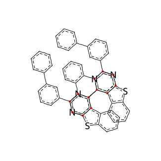 c1ccc(-c2cccc(-c3nc(-c4ccccc4-c4ccccc4-c4ccccc4-c4nc(-c5cccc(-c6ccccc6)c5)nc5sc6ccccc6c45)c4c(n3)sc3ccccc34)c2)cc1